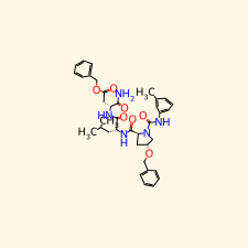 Cc1cccc(NC(=O)N2C[C@H](OCc3ccccc3)C[C@H]2C(=O)N[C@H](CC(C)C)C(=O)N[C@H](CC(=O)OCc2ccccc2)C(N)=O)c1